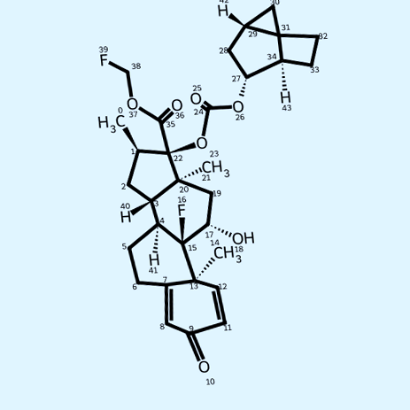 C[C@@H]1C[C@H]2[C@@H]3CCC4=CC(=O)C=C[C@]4(C)[C@@]3(F)[C@@H](O)C[C@]2(C)[C@@]1(OC(=O)O[C@@H]1C[C@@H]2CC23CC[C@@H]13)C(=O)OCF